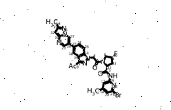 CC(=O)c1nn(CC(=O)N2C[C@H](F)C[C@H]2C(=O)Nc2cc(C)cc(Br)n2)c2ccc(-c3cnc4cc(C)nn4c3)cc12